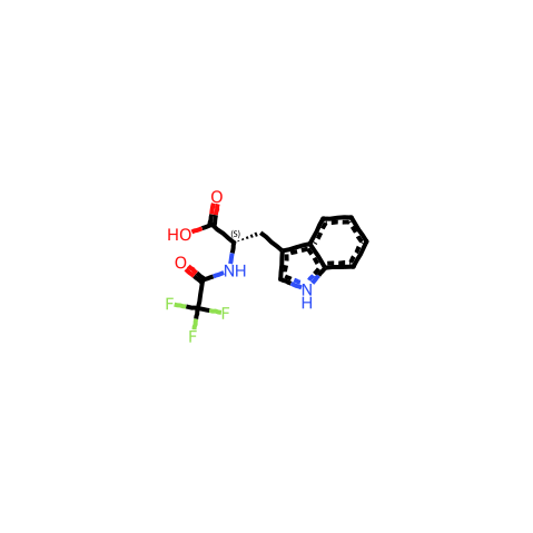 O=C(O)[C@H](Cc1c[nH]c2ccccc12)NC(=O)C(F)(F)F